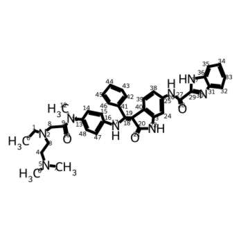 CCN(CCN(C)C)CC(=O)N(C)c1ccc(N/C(=C2\C(=O)Nc3cc(NC(=O)c4nc5ccccc5[nH]4)ccc32)c2ccccc2)cc1